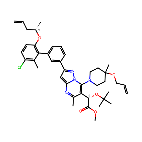 C=CCOC1(C)CCN(c2c([C@H](OC(C)(C)C)C(=O)OC)c(C)nc3cc(-c4cccc(-c5c(O[C@@H](C)CC=C)ccc(Cl)c5C)c4)nn23)CC1